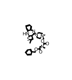 CC1=CC2C(N3CC[N+](C)(COC(=O)N(C)CC(=O)OCc4ccccc4)CC3)=Nc3ccccc3NC2S1